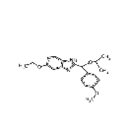 CCOc1ccc2[nH]c(C(OC(C)C)c3ccc(OC)cc3)nc2c1